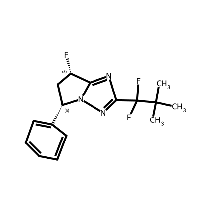 CC(C)(C)C(F)(F)c1nc2n(n1)[C@H](c1ccccc1)C[C@@H]2F